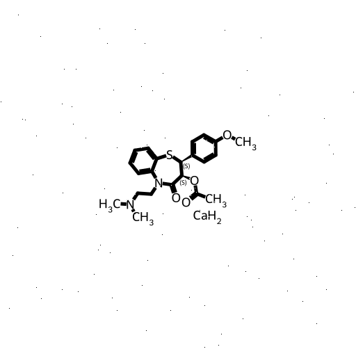 COc1ccc([C@@H]2Sc3ccccc3N(CCN(C)C)C(=O)[C@@H]2OC(C)=O)cc1.[CaH2]